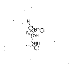 CCCc1c(CCCC(O)(c2cn(Cc3ccccc3)c3cc(C#N)ccc23)C(F)(F)F)[nH]c2c1C=CCC2